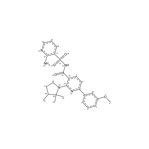 COc1cccc(-c2ccc(C(=O)NS(=O)(=O)c3cccnc3N)c(N3CCC(C)C3(C)C)n2)c1